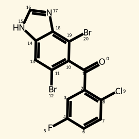 O=C(c1cc(F)ccc1Cl)c1c(Br)cc2[nH]cnc2c1Br